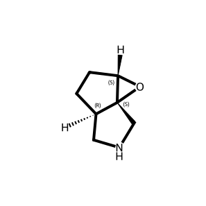 C1C[C@@H]2O[C@@]23CNC[C@@H]13